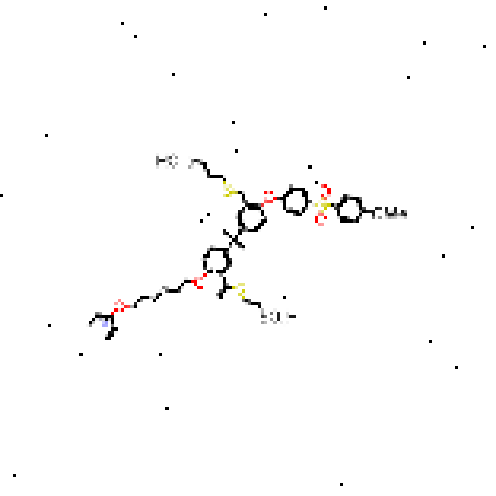 C=C/C(=C\C)OCCCCCCOc1ccc(C(C)(C)c2ccc(Oc3ccc(S(=O)(=O)c4ccc(OC)cc4)cc3)c(CSCCCS(=O)(=O)O)c2)cc1C(=C)SCCS(=O)(=O)O